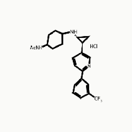 CC(=O)NC1CCC(N[C@@H]2C[C@H]2c2ccc(-c3cccc(C(F)(F)F)c3)nc2)CC1.Cl